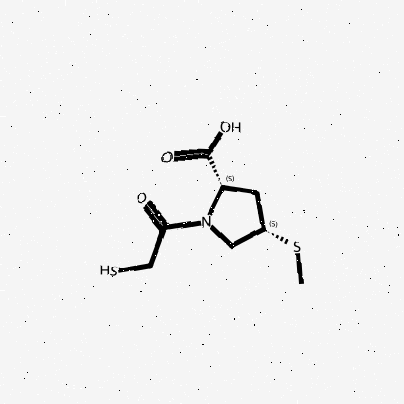 CS[C@H]1C[C@@H](C(=O)O)N(C(=O)CS)C1